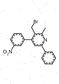 Cc1nc(-c2ccccc2)cc(-c2cccc([N+](=O)[O-])c2)c1CBr